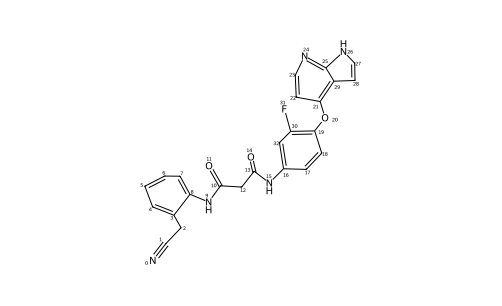 N#CCc1ccccc1NC(=O)CC(=O)Nc1ccc(Oc2ccnc3[nH]ccc23)c(F)c1